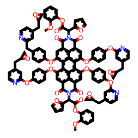 COc1ccccc1OC(=O)C(c1ccco1)N1C(=O)c2cc(Oc3ccc(Cc4cc(CC5CO5)ccn4)cc3)c3c4c(Oc5ccc(Oc6cc(CC7CO7)ccn6)cc5)cc5c6c(cc(Oc7ccc(Oc8cc(CC9CO9)ccn8)cc7)c(c7c(Oc8ccc(Oc9cc(CC%10CO%10)ccn9)cc8)cc(c2c37)C1=O)c64)C(=O)N(C(C(=O)Oc1ccccc1OC)c1ccco1)C5=O